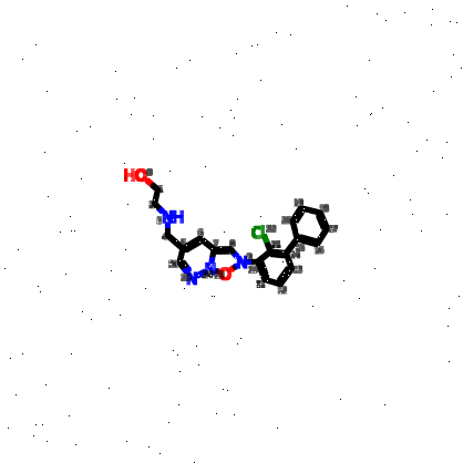 OCCNCC1=CC2=CN(c3cccc(-c4ccccc4)c3Cl)ON2N=C1